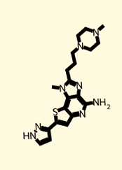 CN1CCN(CCCc2nc3c(N)nc4cc(-c5cc[nH]n5)sc4c3n2C)CC1